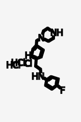 Cl.Cl.Cl.Fc1ccc(NCCc2ccc(CN3CCNCC3)cc2)cc1